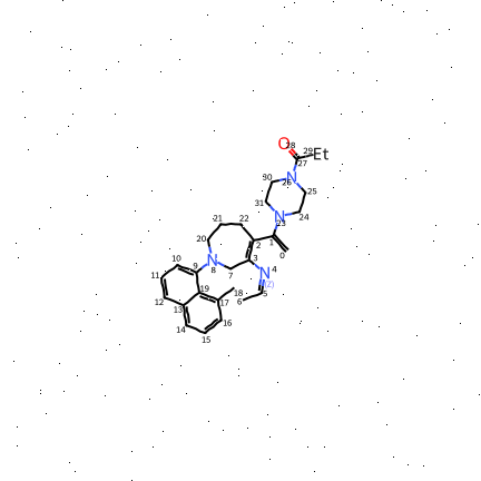 C=C(C1=C(/N=C\C)CN(c2cccc3cccc(C)c23)CCC1)N1CCN(C(=O)CC)CC1